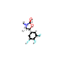 C[C@H]1[C@@H](c2cc(F)c(F)c(F)c2)OC(=O)N1C